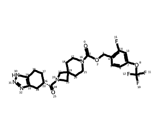 O=C(OCc1ccc(OC(F)(F)F)cc1F)N1CCC2(CC1)CN(C(=O)[C@H]1CCc3[nH]nnc3C1)C2